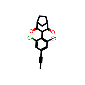 CC#Cc1cc(Cl)c(C2C(=O)C3CCC(C3)C2=O)c(CC)c1